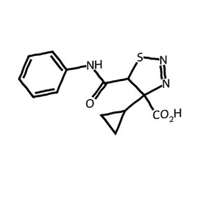 O=C(Nc1ccccc1)C1SN=NC1(C(=O)O)C1CC1